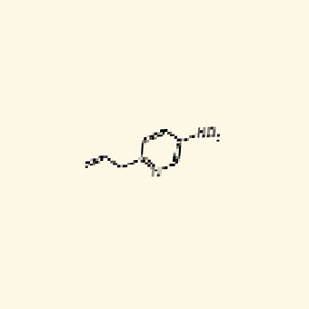 C=CCc1ccc([N+](=O)[O-])cn1